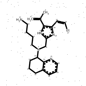 C=C(C)c1[nH]c(CN(CCCCN)C2CCCc3cccnc32)nc1/C=C\CC